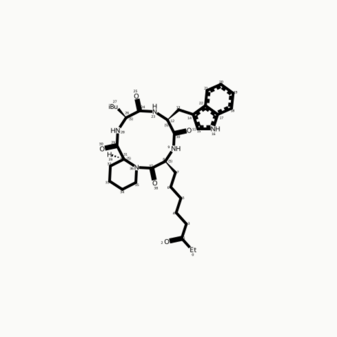 CCC(=O)CCCCC[C@@H]1NC(=O)[C@H](Cc2c[nH]c3ccccc23)NC(=O)[C@H](C(C)CC)NC(=O)[C@@H]2CCCCN2C1=O